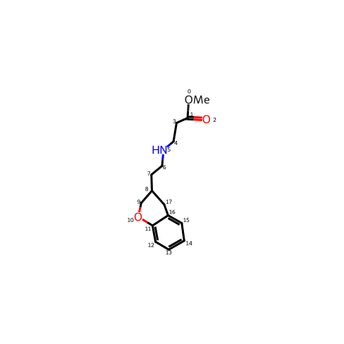 COC(=O)CCNCCC1COc2ccccc2C1